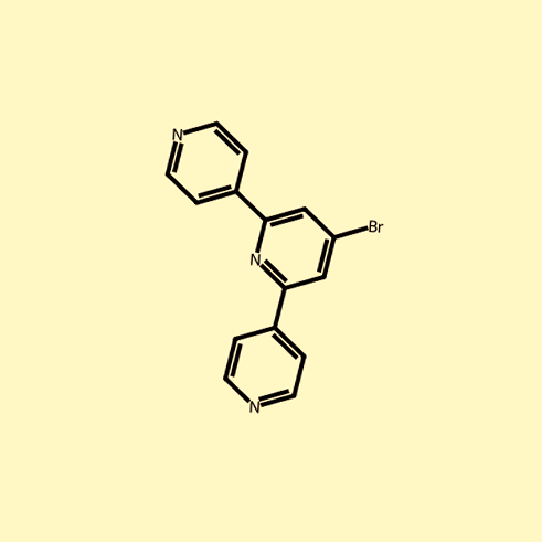 Brc1cc(-c2ccncc2)nc(-c2ccncc2)c1